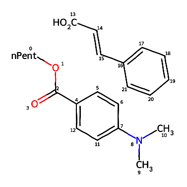 CCCCCOC(=O)c1ccc(N(C)C)cc1.O=C(O)/C=C/c1ccccc1